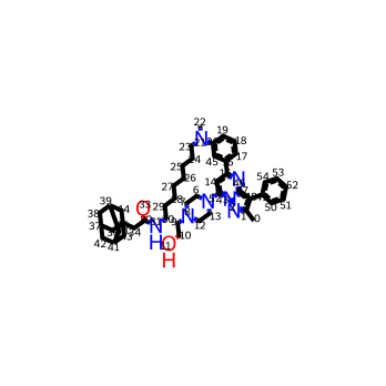 Cc1nn2c(N3CCN(CCO)CC3)cc(-c3cccc(N(C)CCCCCCCCNC(=O)CC45CC6CC(CC(C6)C4)C5)c3)nc2c1-c1ccccc1